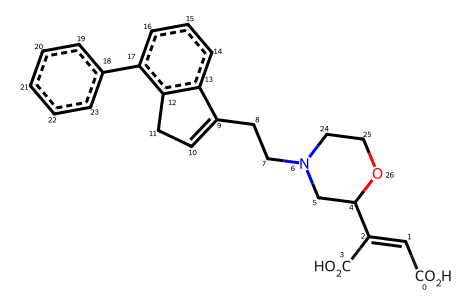 O=C(O)C=C(C(=O)O)C1CN(CCC2=CCc3c2cccc3-c2ccccc2)CCO1